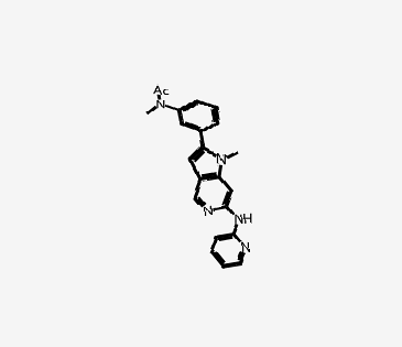 CC(=O)N(C)c1cccc(-c2cc3cnc(Nc4ccccn4)cc3n2C)c1